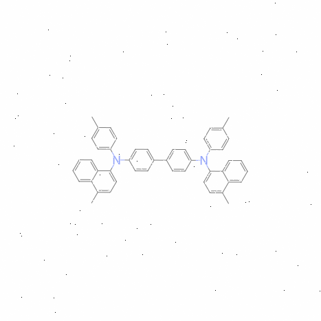 Cc1ccc(N(c2ccc(-c3ccc(N(c4ccc(C)cc4)c4ccc(C)c5ccccc45)cc3)cc2)c2ccc(C)c3ccccc23)cc1